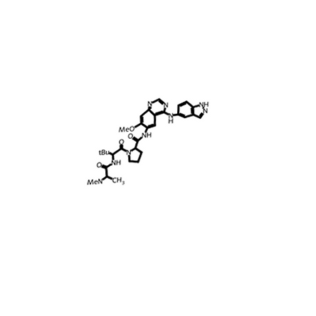 CNC(C)C(=O)NC(C(=O)N1CCCC1C(=O)Nc1cc2c(Nc3ccc4[nH]ncc4c3)ncnc2cc1OC)C(C)(C)C